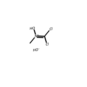 C[N+](O)=C(Cl)Cl.[OH-]